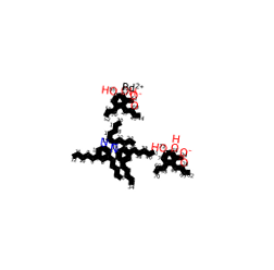 CCCCCc1cc(CCCCC)cc(N=C(CCCC)C(CCCC)=Nc2cc(CCCCC)cc(CCCCC)c2)c1.CCCCc1c(CCC)cc(O)c(O)c1C(=O)[O-].CCCCc1c(CCC)cc(O)c(O)c1C(=O)[O-].[Pd+2]